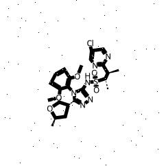 COc1cccc(OC)c1-n1c(NS(=O)(=O)[C@@H](C)[C@H](C)c2ncc(Cl)cn2)nnc1[C@H]1CO[C@H](C)C1